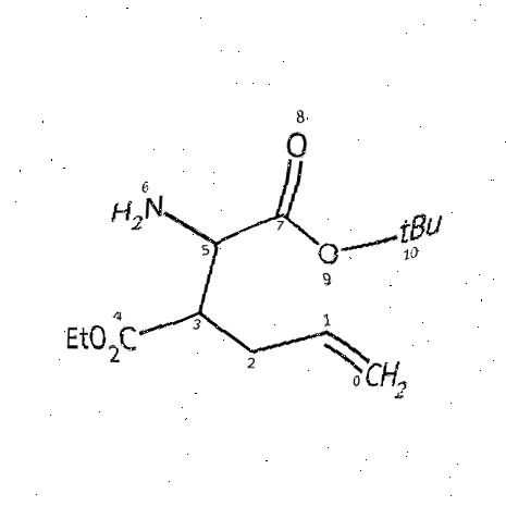 C=CCC(C(=O)OCC)C(N)C(=O)OC(C)(C)C